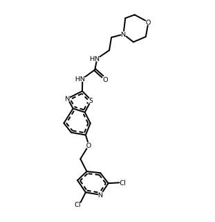 O=C(NCCN1CCOCC1)Nc1nc2ccc(OCc3cc(Cl)nc(Cl)c3)cc2s1